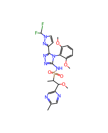 COc1cccc(OC)c1-n1c(NS(=O)(=O)C(C)C(OC)c2cnc(C)cn2)nnc1-c1ccn(C(F)F)n1